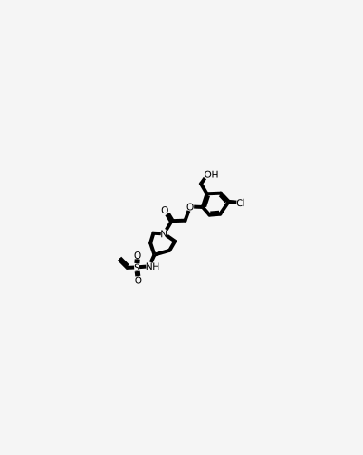 C=CS(=O)(=O)NC1CCN(C(=O)COc2ccc(Cl)cc2CO)CC1